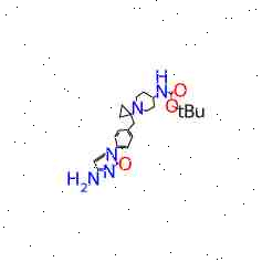 CC(C)(C)OC(=O)NC1CCN(C2(Cc3ccc(-n4ccc(N)nc4=O)cc3)CC2)CC1